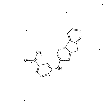 C[S+]([O-])c1cc(Nc2ccc3c(c2)Cc2ccccc2-3)ncn1